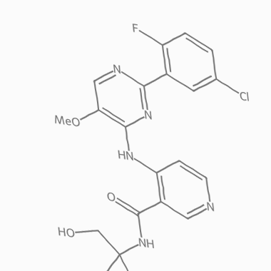 COc1cnc(-c2cc(Cl)ccc2F)nc1Nc1ccncc1C(=O)NC1(CO)CC1